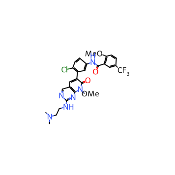 COc1ccc(C(F)(F)F)cc1C(=O)Nc1ccc(Cl)c(-c2cc3cnc(NCCN(C)C)nc3n(OC)c2=O)c1